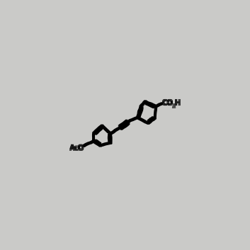 CC(=O)Oc1ccc(C#Cc2ccc(C(=O)O)cc2)cc1